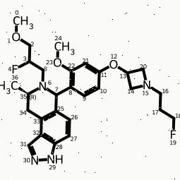 COCC(F)CN1C(c2ccc(OC3CN(CCCF)C3)cc2OC)c2ccc3[nH]ncc3c2C[C@H]1C